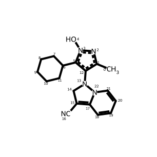 Cc1nn(O)c(C2CCCCC2)c1N1CC(C#N)=C2C=CC=CN21